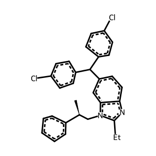 CCc1nc2ccc(C(c3ccc(Cl)cc3)c3ccc(Cl)cc3)cc2n1C[C@H](C)c1ccccc1